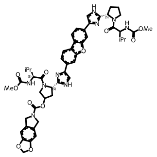 COC(=O)NC(C(=O)N1CCC[C@H]1c1nc(-c2ccc3c(c2)oc2cc(-c4c[nH]c([C@@H]5CC(OC(=O)N6Cc7cc8c(cc7C6)OCO8)CN5C(=O)[C@@H](NC(=O)OC)C(C)C)n4)ccc23)c[nH]1)C(C)C